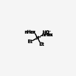 CCCCCC[N+](CC)(CC)CCCCCC.[OH-]